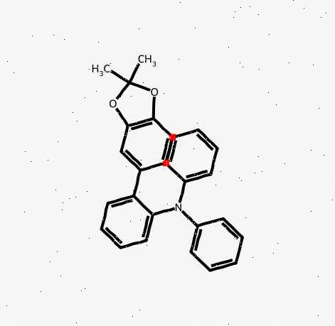 CC1(C)Oc2ccc(-c3ccccc3N(c3ccccc3)c3ccccc3)cc2O1